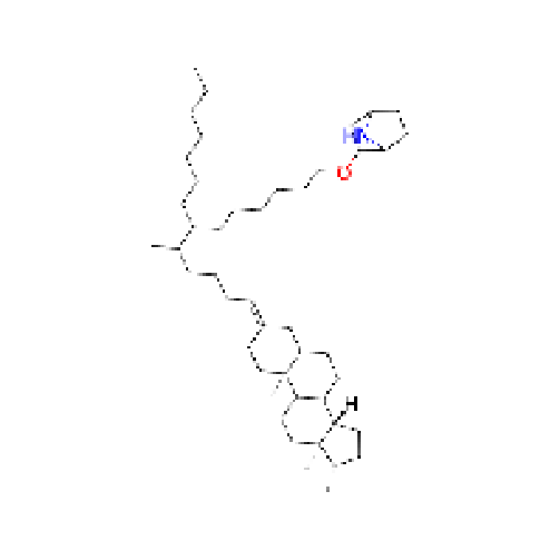 CCCCCCCC(CCCCCCOC1CC2CCC1N2)C(C)CCC/C=C1\CC[C@@]2(C)C(CCC3C2CC[C@]2(C)[C@@H](C)CC[C@@H]32)C1